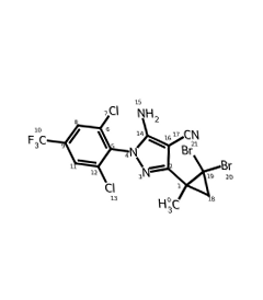 CC1(c2nn(-c3c(Cl)cc(C(F)(F)F)cc3Cl)c(N)c2C#N)CC1(Br)Br